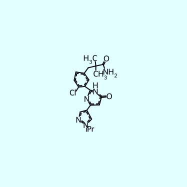 CC(C)n1cc(-c2cc(=O)[nH]c(-c3cc(CC(C)(C)C(N)=O)ccc3Cl)n2)cn1